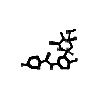 CN[SH]1(=O)C[C@@](C)(c2cc(NC(=O)c3ccc(F)cn3)ccc2F)NC(=N)N1C